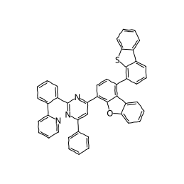 c1ccc(-c2cc(-c3ccc(-c4cccc5c4sc4ccccc45)c4c3oc3ccccc34)nc(-c3ccccc3-c3ccccn3)n2)cc1